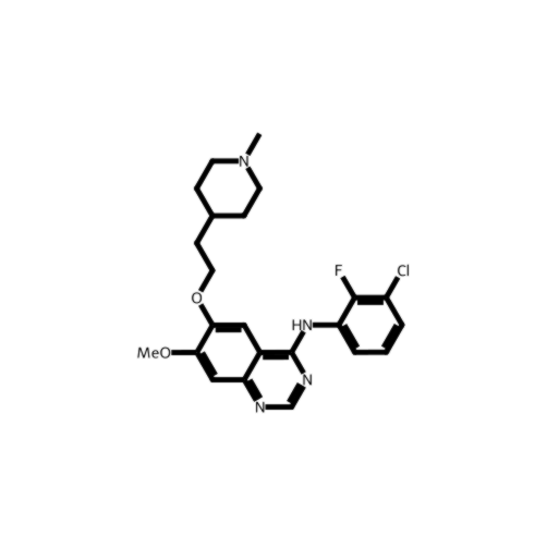 COc1cc2ncnc(Nc3cccc(Cl)c3F)c2cc1OCCC1CCN(C)CC1